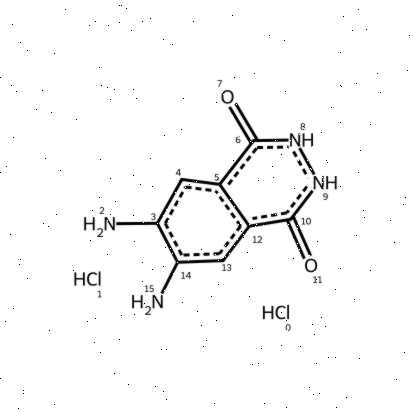 Cl.Cl.Nc1cc2c(=O)[nH][nH]c(=O)c2cc1N